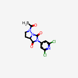 BC(=O)N1CCC2C(=O)N(c3cc(Cl)nc(Cl)c3)C(=O)N21